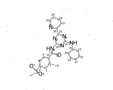 Cc1cc(S(C)(=O)=O)ccc1C(=O)Nc1nc(Nc2ccccc2)nc(-c2ccccn2)n1